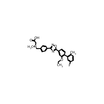 CCOc1cc(-c2nc(-c3ccc(CN(C)CC(=O)O)cc3)no2)ccc1-c1cc(F)ccc1C